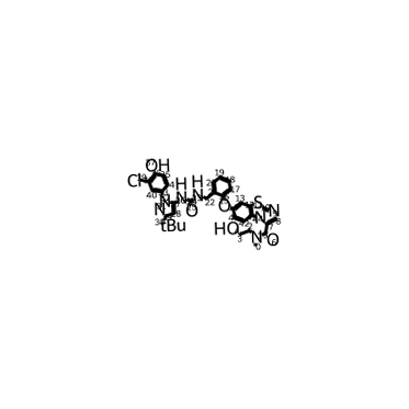 CN(CCO)C(=O)c1cnc2sc3cc(Oc4ccccc4CNC(=O)Nc4cc(C(C)(C)C)nn4-c4ccc(O)c(Cl)c4)ccc3n12